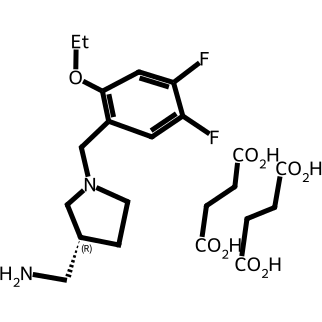 CCOc1cc(F)c(F)cc1CN1CC[C@H](CN)C1.O=C(O)CCC(=O)O.O=C(O)CCC(=O)O